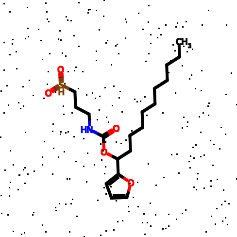 CCCCCCCCCCC(OC(=O)NCCC[SH](=O)=O)c1ccco1